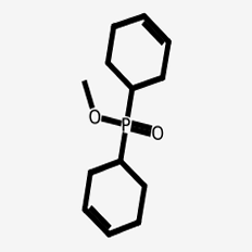 COP(=O)(C1CC=CCC1)C1CC=CCC1